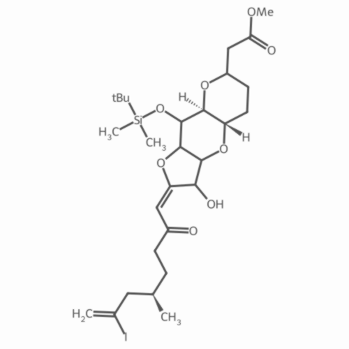 C=C(I)C[C@H](C)CCC(=O)/C=C1/OC2C(O[C@H]3CCC(CC(=O)OC)O[C@@H]3C2O[Si](C)(C)C(C)(C)C)C1O